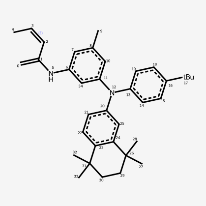 C=C(/C=C\C)Nc1cc(C)cc(N(c2ccc(C(C)(C)C)cc2)c2ccc3c(c2)C(C)(C)CCC3(C)C)c1